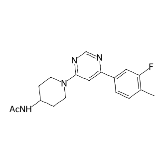 CC(=O)NC1CCN(c2cc(-c3ccc(C)c(F)c3)ncn2)CC1